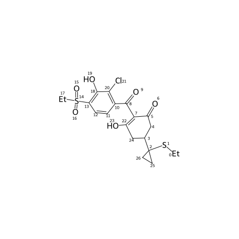 CCSC1(C2CC(=O)C(C(=O)c3ccc(S(=O)(=O)CC)c(O)c3Cl)=C(O)C2)CC1